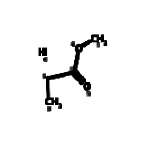 CCC(=O)OC.I